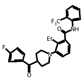 CCc1c(C(=O)Nc2ccccc2C(F)(F)F)cccc1N1CCC(C(=O)c2ccc(F)cc2)CC1